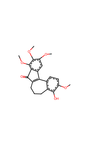 COc1ccc2c(c1O)CCCC1=C2c2cc(OC)c(OC)c(OC)c2C1=O